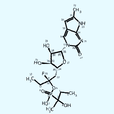 CCC(C)(O)P(=O)(O)O[C@](F)(CC)C[C@H]1O[C@@H](n2cc3cc(C)[nH]c3nc2=O)[C@H](O)[C@@H]1O